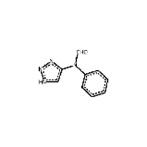 O=CN(c1ccccc1)c1c[nH]nn1